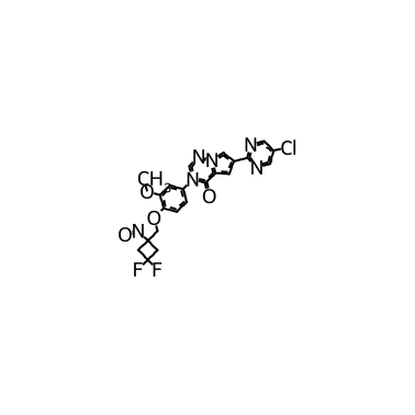 COc1cc(-n2cnn3cc(-c4ncc(Cl)cn4)cc3c2=O)ccc1OCC1(N=O)CC(F)(F)C1